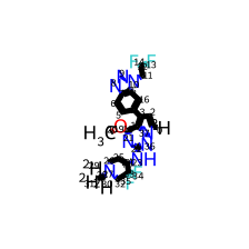 [2H]c1cc(-c2ccc3nnn(CC(F)F)c3c2)c2c(OC)nc(N[C@@H]3CCN(C([2H])([2H])[2H])CC3(F)F)nn12